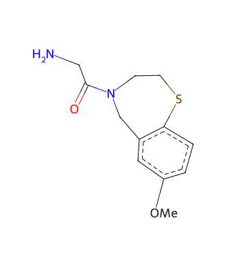 COc1ccc2c(c1)CN(C(=O)CN)CCS2